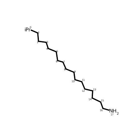 CC(C)CCCCCCCCCCCCCCCCN